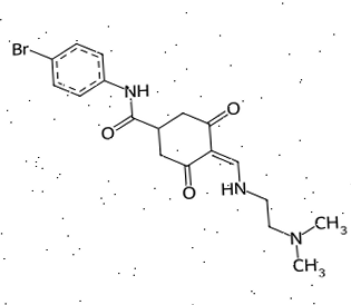 CN(C)CCNC=C1C(=O)CC(C(=O)Nc2ccc(Br)cc2)CC1=O